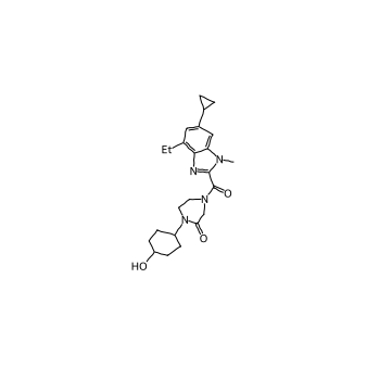 CCc1cc(C2CC2)cc2c1nc(C(=O)N1CCN(C3CCC(O)CC3)C(=O)C1)n2C